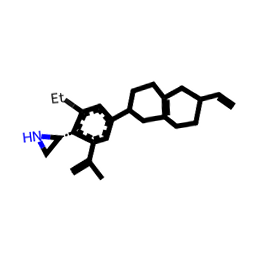 C=CC1CCC2=C(CCC(c3cc(CC)c([C@@H]4CN4)c(C(=C)C)c3)C2)C1